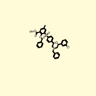 COC(=O)c1cc(C)cc(S(=O)(=O)c2ccc(CCN(Cc3ccccc3)C[C@@H](O)c3cccc(Cl)c3)cc2)c1OCc1ccccc1